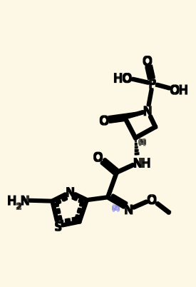 CO/N=C(\C(=O)N[C@H]1CN(P(=O)(O)O)C1=O)c1csc(N)n1